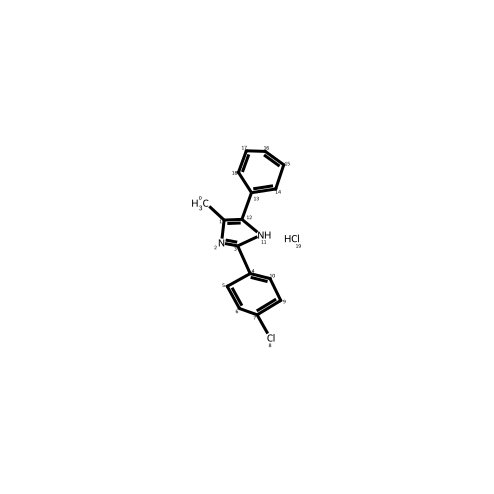 Cc1nc(-c2ccc(Cl)cc2)[nH]c1-c1ccccc1.Cl